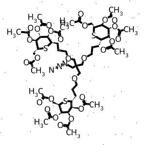 CC(=O)OC[C@H]1S[C@H](CCCOCC(CN=[N+]=[N-])(COCCC[C@@H]2S[C@H](COC(C)=O)[C@@H](OC(C)=O)[C@H](OC(C)=O)[C@H]2OC(C)=O)COCCC[C@H]2S[C@H](COC(C)=O)[C@@H](OC(C)=O)[C@H](OC(C)=O)[C@@H]2OC(C)=O)[C@@H](OC(C)=O)[C@@H](OC(C)=O)[C@@H]1OC(C)=O